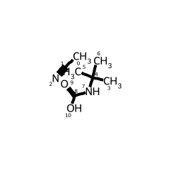 CC#N.CC(C)(C)NC(=O)O